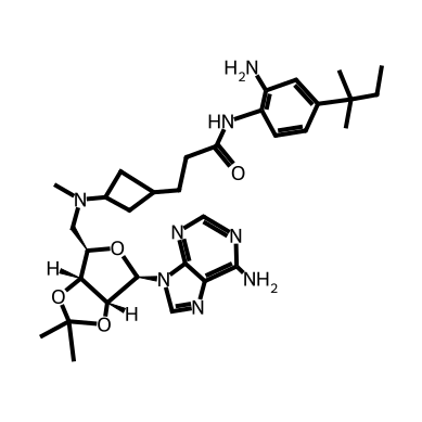 CCC(C)(C)c1ccc(NC(=O)CCC2CC(N(C)C[C@H]3O[C@@H](n4cnc5c(N)ncnc54)[C@@H]4OC(C)(C)O[C@@H]43)C2)c(N)c1